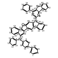 c1ccc(-c2ccc(N(c3ccccc3)c3cc4c5cc6c7ccccc7n(-c7nc(-c8ccccc8)c8sc9ccccc9c8n7)c6cc5oc4c4ccccc34)cc2)cc1